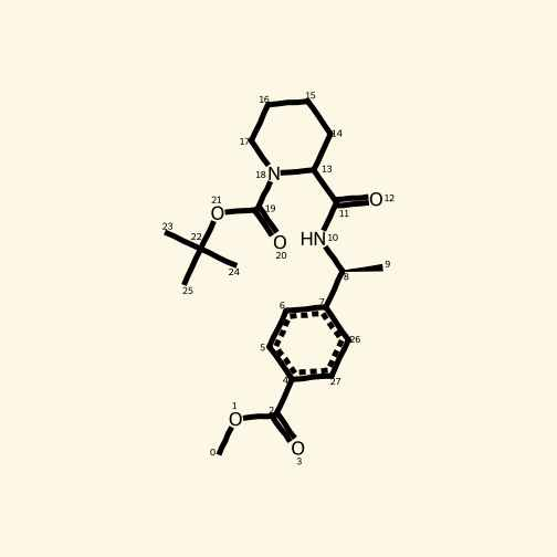 COC(=O)c1ccc([C@H](C)NC(=O)C2CCCCN2C(=O)OC(C)(C)C)cc1